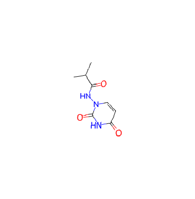 CC(C)C(=O)Nn1ccc(=O)[nH]c1=O